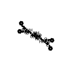 Nc1nc(C(=O)NCCC(=O)N[C@H](CC(=O)CCc2ccccc2)C(=O)OCc2ccccc2)c(N)nc1C(=O)NCCCN[C@H](CC(=O)OCc1ccccc1)C(=O)OCc1ccccc1